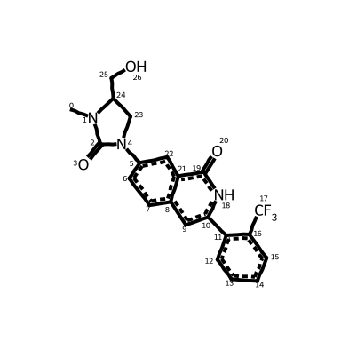 CN1C(=O)N(c2ccc3cc(-c4ccccc4C(F)(F)F)[nH]c(=O)c3c2)CC1CO